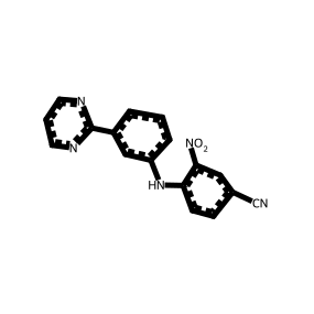 N#Cc1ccc(Nc2cccc(-c3ncccn3)c2)c([N+](=O)[O-])c1